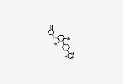 Cn1cnnc1C1CCN(c2c(Br)ccc(OC3CCNC3)c2C#N)CC1